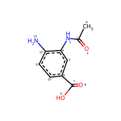 CC(=O)Nc1cc(C(=O)O)ccc1N